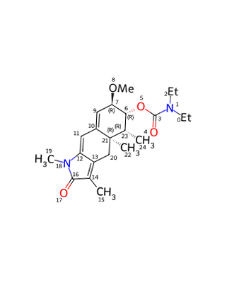 CCN(CC)C(=O)O[C@H]1[C@H](OC)C=C2C=C3C(=C(C)C(=O)N3C)C[C@]2(C)[C@H]1C